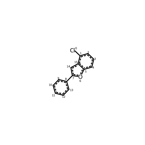 Clc1cccc2oc(-c3ccccc3)cc12